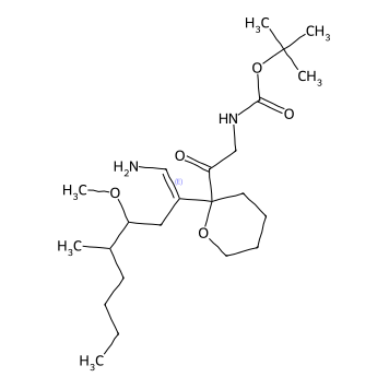 CCCCC(C)C(C/C(=C\N)C1(C(=O)CNC(=O)OC(C)(C)C)CCCCO1)OC